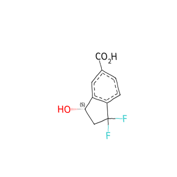 O=C(O)c1ccc2c(c1)[C@@H](O)CC2(F)F